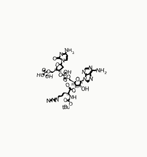 CC(C)(C)OC(=O)N[C@@H](CCCN=[N+]=[N-])C(=O)O[C@H]1[C@@H](O)[C@H](n2cnc3c(N)ncnc32)O[C@@H]1COP(=O)(O)O[C@H]1CC(n2ccc(N)nc2=O)O[C@@H]1COP(=O)(O)O